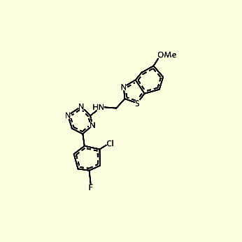 COc1ccc2sc(CNc3nncc(-c4ccc(F)cc4Cl)n3)nc2c1